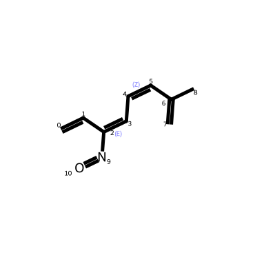 C=C/C(=C\C=C/C(=C)C)N=O